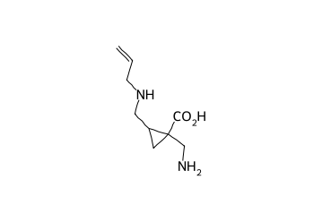 C=CCNCC1CC1(CN)C(=O)O